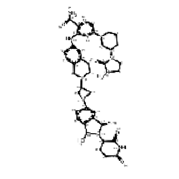 CN1CCN([C@@H]2CCCN(c3cnc(C(N)=O)c(Nc4ccc5c(c4)CCN(C4CN(c6ccc7c(c6)C(=O)N(C6CCC(=O)NC6=O)C7O)C4)C5)n3)C2)C1=O